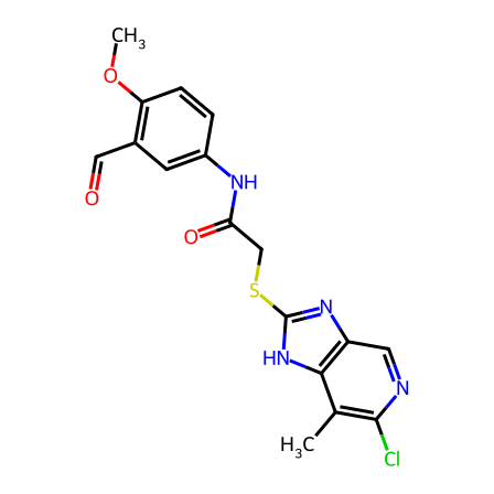 COc1ccc(NC(=O)CSc2nc3cnc(Cl)c(C)c3[nH]2)cc1C=O